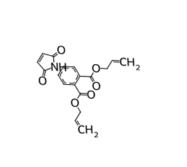 C=CCOC(=O)c1ccccc1C(=O)OCC=C.O=C1C=CC(=O)N1